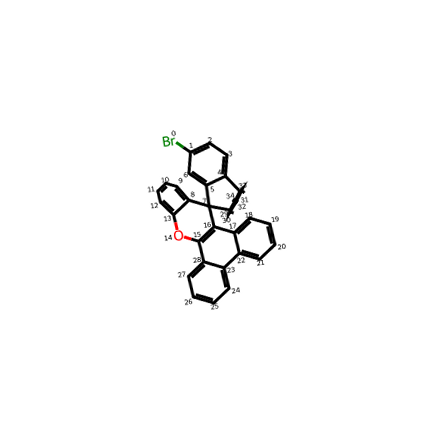 Brc1ccc2c(c1)C1(c3ccccc3Oc3c1c1ccccc1c1ccccc31)c1ccccc1-2